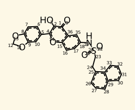 O=c1c(O)c(-c2ccc3c(c2)OCO3)oc2ccc(NS(=O)(=O)CCc3cccc4ccccc34)cc12